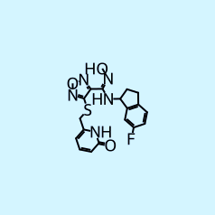 O=c1cccc(CSc2nonc2/C(=N\O)NC2CCc3ccc(F)cc32)[nH]1